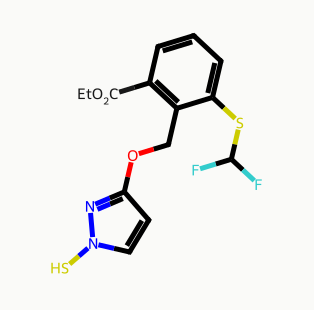 CCOC(=O)c1cccc(SC(F)F)c1COc1ccn(S)n1